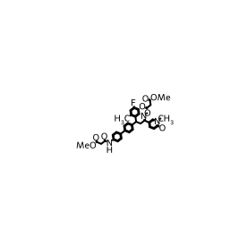 COC(=O)CC(=O)Nc1ccc(-c2ccc(C(CC(=NOC(=O)CC(=O)OC)c3ccc(=O)n(C)c3)c3ccc(F)cc3C)cc2)cc1